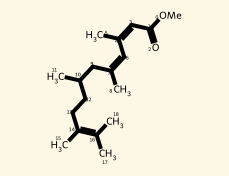 COC(=O)C=C(C)C=C(C)CC(C)CCC(C)=C(C)C